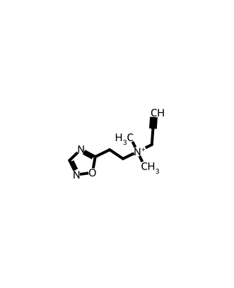 C#CC[N+](C)(C)CCc1ncno1